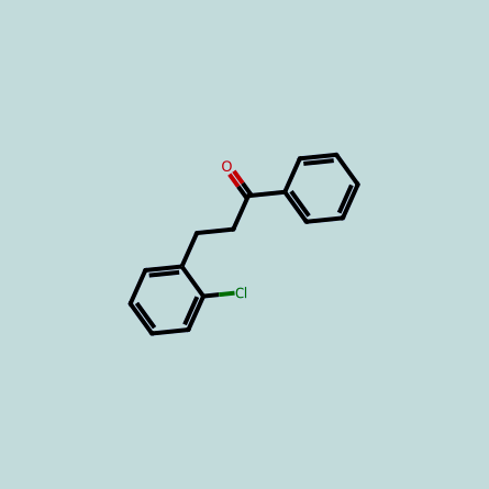 O=C(CCc1ccccc1Cl)c1ccccc1